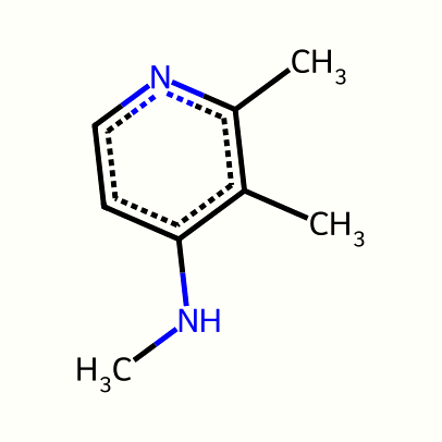 CNc1ccnc(C)c1C